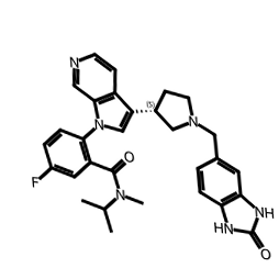 CC(C)N(C)C(=O)c1cc(F)ccc1-n1cc([C@@H]2CCN(Cc3ccc4[nH]c(=O)[nH]c4c3)C2)c2ccncc21